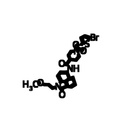 COCCCN1C(=O)c2cccc3c(NC(=O)C4CCN(S(=O)(=O)c5ccc(Br)s5)CC4)ccc1c23